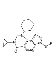 O=C1c2cnc3c(ccn3SF)c2N(C2CCCCC2)CN1C1CC1